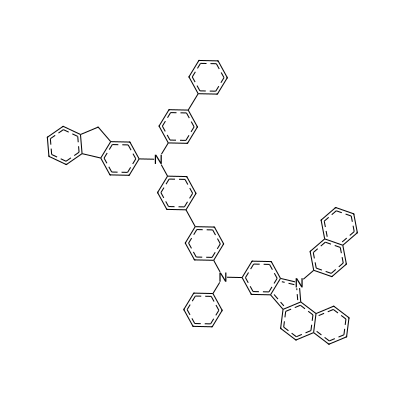 c1ccc(-c2ccc(N(c3ccc(-c4ccc(N(c5ccccc5)c5ccc6c(c5)c5ccc7ccccc7c5n6-c5ccc6ccccc6c5)cc4)cc3)c3ccc4c(c3)Cc3ccccc3-4)cc2)cc1